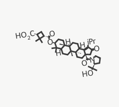 CC(C)C1=C2[C@H]3CC[C@@H]4[C@@]5(C)CC[C@H](OC(=O)[C@H]6C[C@@H](C(=O)O)C6(C)C)C(C)(C)[C@@H]5CC[C@@]4(C)[C@]3(C)CC[C@@]2(C(=O)N2CCC[C@H]2C(C)(C)O)CC1=O